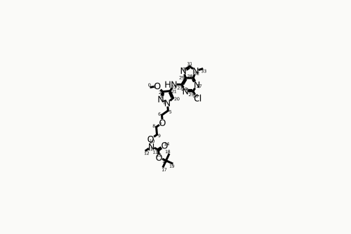 COc1nn(CCOCCON(C)C(=O)OC(C)(C)C)cc1Nc1nc(Cl)nc2c1ncn2C